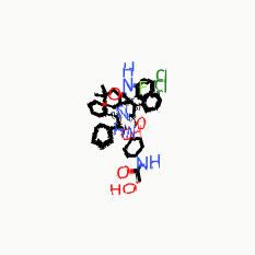 CC1(C)CCC2(CC1)N([C@H](c1ccccc1)[C@@H](O)c1ccccc1)[C@@H](C(=O)N[C@H]1CC[C@H](NC(=O)CO)CC1)[C@H](c1cccc(Cl)c1F)[C@]21C(=O)Nc2cc(Cl)ccc21